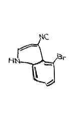 [C-]#[N+]c1c[nH]c2cccc(Br)c12